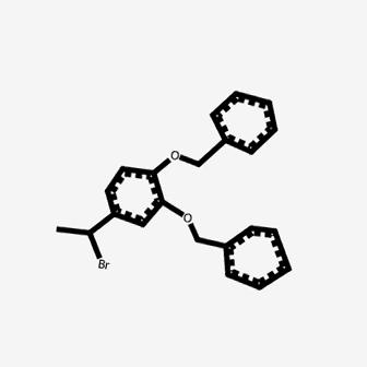 CC(Br)c1ccc(OCc2ccccc2)c(OCc2ccccc2)c1